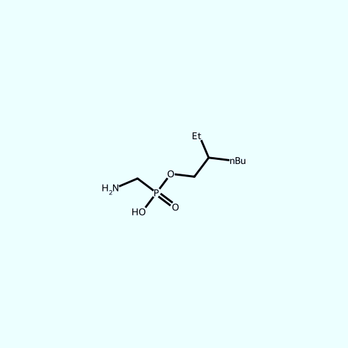 CCCCC(CC)COP(=O)(O)CN